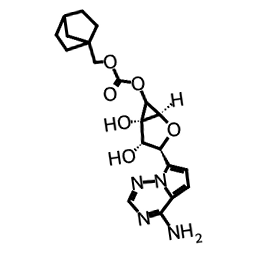 Nc1ncnn2c([C@@H]3O[C@@H]4C(OC(=O)OCC56CCC(CC5)C6)[C@]4(O)[C@H]3O)ccc12